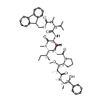 CC[C@H](C)[C@@H]([C@@H](CC(=O)N1CCC[C@H]1[C@H](OC)[C@@H](C)C(=O)N[C@H](C)[C@@H](O)c1ccccc1)OC)N(C)C(=O)[C@@H](NC(=O)[C@H](C(C)C)N(C)C(=O)OCC1c2ccccc2-c2ccccc21)C(C)C